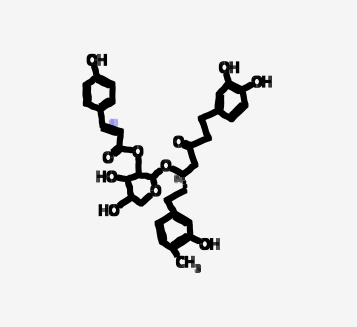 Cc1ccc(CC[C@@H](CC(=O)CCc2ccc(O)c(O)c2)OC2OCC(O)C(O)C2OC(=O)/C=C/c2ccc(O)cc2)cc1O